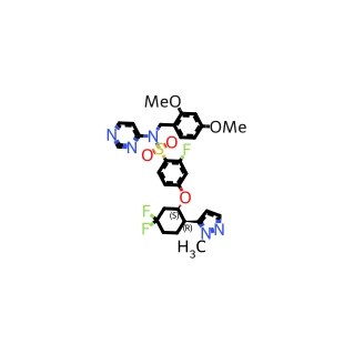 COc1ccc(CN(c2ccncn2)S(=O)(=O)c2ccc(O[C@H]3CC(F)(F)CC[C@@H]3c3ccnn3C)cc2F)c(OC)c1